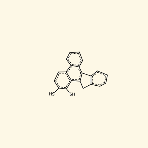 Sc1ccc2c(c1S)c1c(c3ccccc32)-c2ccccc2C1